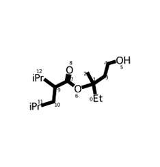 CCC(C)(CCO)OC(=O)C(CC(C)C)C(C)C